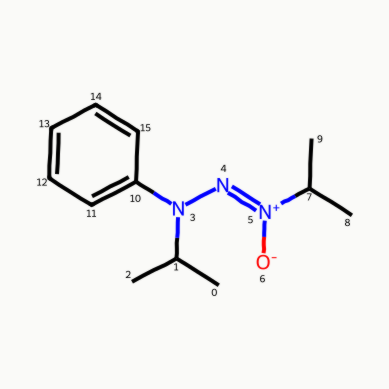 CC(C)N(N=[N+]([O-])C(C)C)c1ccccc1